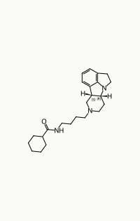 O=C(NCCCCN1CC[C@@H]2[C@H](C1)c1cccc3c1N2CC3)C1CCCCC1